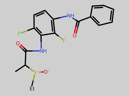 CC[S+]([O-])C(C)C(=O)Nc1c(F)ccc(NC(=O)c2ccccc2)c1F